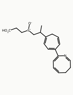 CC(C[S+]([O-])CCC(=O)O)C1=CC=C(C2=C/C=C\CC/C=N\2)C=CC1